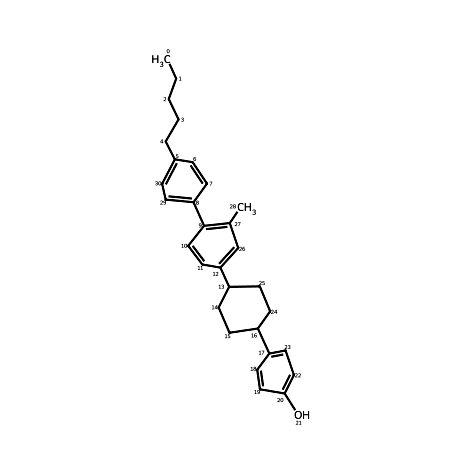 CCCCCc1ccc(-c2ccc(C3CCC(c4ccc(O)cc4)CC3)cc2C)cc1